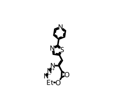 CCOC1OC1/C(=C/c1cnc(-c2ccncc2)s1)N=[N+]=[N-]